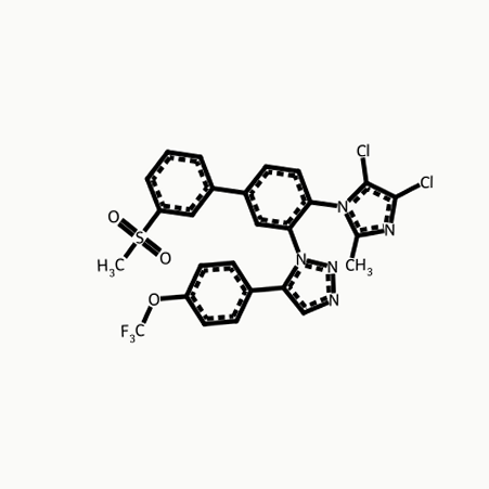 Cc1nc(Cl)c(Cl)n1-c1ccc(-c2cccc(S(C)(=O)=O)c2)cc1-n1nncc1-c1ccc(OC(F)(F)F)cc1